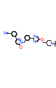 CC(C)(C)N1CCC(COc2cnc(-c3cccc(Cn4nc(-c5cccc(C#N)c5)ccc4=O)c3)nc2)CC1